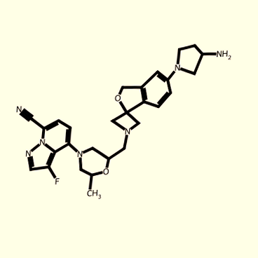 CC1CN(c2ccc(C#N)n3ncc(F)c23)CC(CN2CC3(C2)OCc2cc(N4CCC(N)C4)ccc23)O1